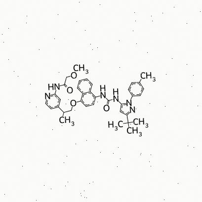 COCC(=O)Nc1cc(C(C)COc2ccc(NC(=O)Nc3cc(C(C)(C)C)nn3-c3ccc(C)cc3)c3ccccc23)ccn1